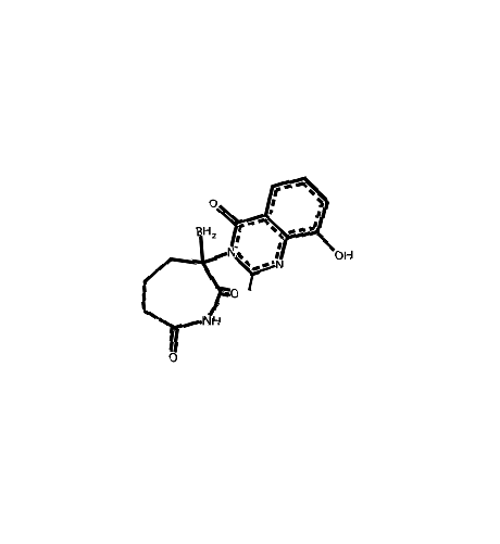 BC1(n2c(C)nc3c(O)cccc3c2=O)CCCC(=O)NC1=O